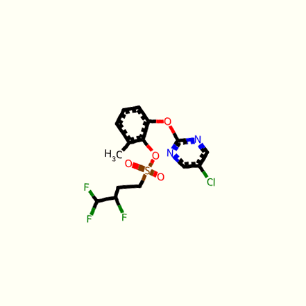 Cc1cccc(Oc2ncc(Cl)cn2)c1OS(=O)(=O)CCC(F)C(F)F